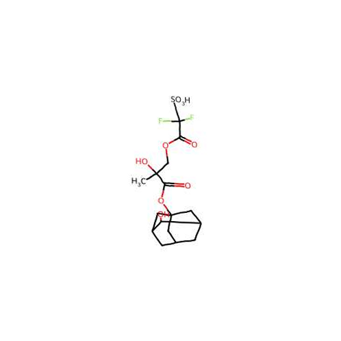 CC(O)(COC(=O)C(F)(F)S(=O)(=O)O)C(=O)OC12CC3CC(C1)C(O)C(C3)C2